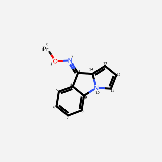 CC(C)O/N=C1\c2ccccc2-n2cccc21